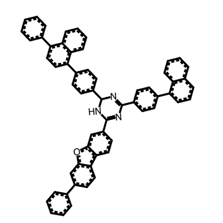 c1ccc(-c2ccc3c(c2)oc2cc(C4=NC(c5ccc(-c6cccc7ccccc67)cc5)=NC(c5ccc(-c6ccc(-c7ccccc7)c7ccccc67)cc5)N4)ccc23)cc1